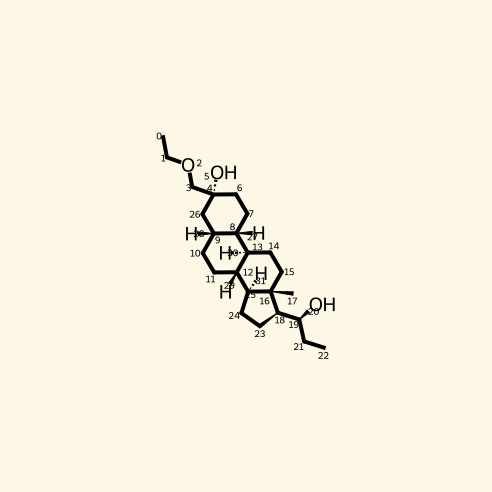 CCOC[C@@]1(O)CC[C@H]2[C@H](CC[C@@H]3[C@@H]2CC[C@]2(C)[C@@H]([C@@H](O)CC)CC[C@@H]32)C1